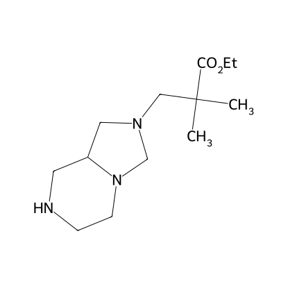 CCOC(=O)C(C)(C)CN1CC2CNCCN2C1